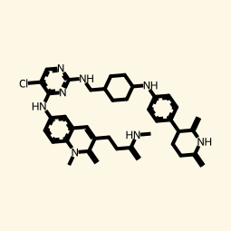 C=C(CCC1=Cc2cc(Nc3nc(NCC4CCC(Nc5ccc(C6CCC(=C)NC6=C)cc5)CC4)ncc3Cl)ccc2N(C)C1=C)NC